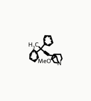 COC1(C#CC(C)(c2ccccc2)c2ccccc2)CN2CCC1CC2